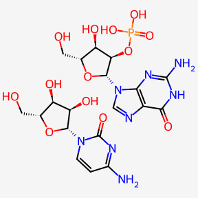 Nc1ccn([C@@H]2O[C@H](CO)[C@@H](O)[C@H]2O)c(=O)n1.Nc1nc2c(ncn2[C@@H]2O[C@H](CO)[C@@H](O)[C@H]2OP(=O)(O)O)c(=O)[nH]1